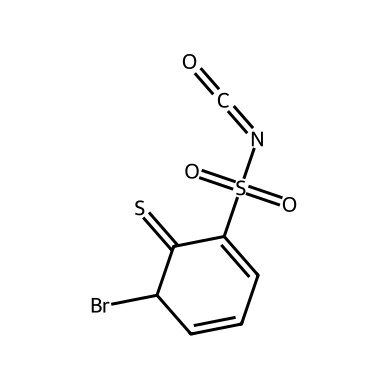 O=C=NS(=O)(=O)C1=CC=CC(Br)C1=S